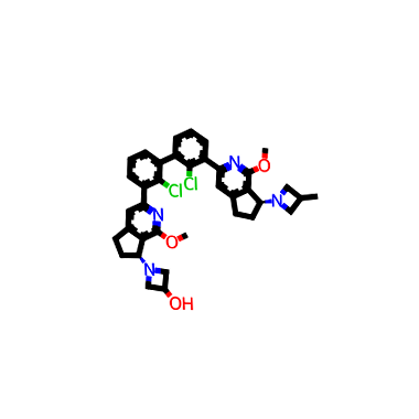 COc1nc(-c2cccc(-c3cccc(-c4cc5c(c(OC)n4)[C@@H](N4CC(O)C4)CC5)c3Cl)c2Cl)cc2c1[C@@H](N1CC(C)C1)CC2